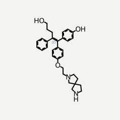 OCCC/C(=C(\c1ccc(O)cc1)c1ccc(OCCN2CCC3(CCNC3)C2)cc1)c1ccccc1